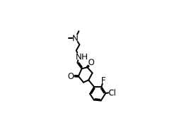 CN(C)CCNC=C1C(=O)CC(c2cccc(Cl)c2F)CC1=O